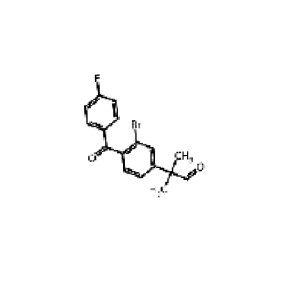 CC(C)(C=O)c1ccc(C(=O)c2ccc(F)cc2)c(Br)c1